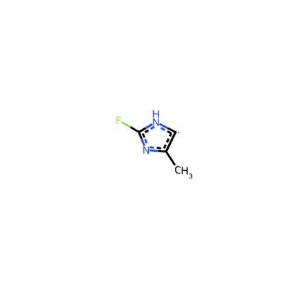 Cc1[c][nH]c(F)n1